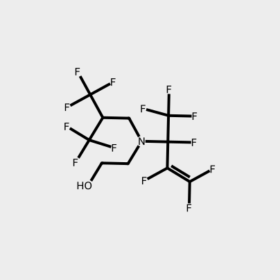 OCCN(CC(C(F)(F)F)C(F)(F)F)C(F)(C(F)=C(F)F)C(F)(F)F